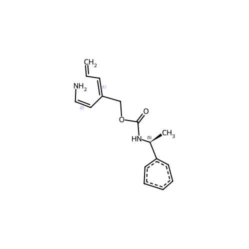 C=C/C=C(\C=C/N)COC(=O)N[C@@H](C)c1ccccc1